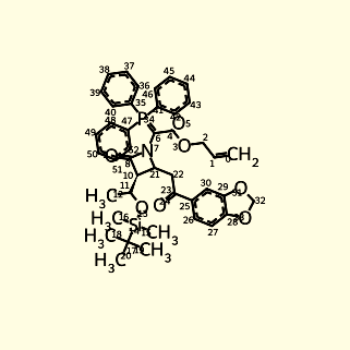 C=CCOC(=O)C(N1C(=O)[C@H](C(C)O[Si](C)(C)C(C)(C)C)C1CC(=O)c1ccc2c(c1)OCO2)=P(c1ccccc1)(c1ccccc1)c1ccccc1